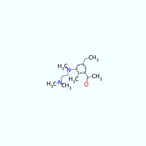 CCc1cc(C(C)=O)c(C)c(N(C)CCN(C)C)c1